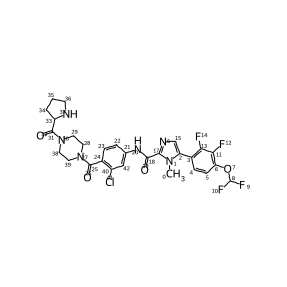 Cn1c(-c2ccc(OC(F)F)c(F)c2F)cnc1C(=O)Nc1ccc(C(=O)N2CCN(C(=O)C3CCCN3)CC2)c(Cl)c1